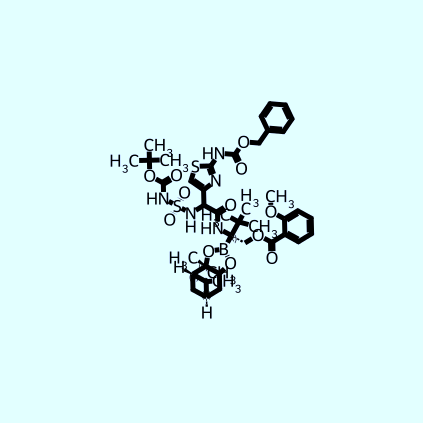 COc1ccccc1C(=O)OC[C@@](NC(=O)C(NS(=O)(=O)NC(=O)OC(C)(C)C)c1csc(NC(=O)OCc2ccccc2)n1)(B1OC2C[C@H]3C[C@@H](C3(C)C)[C@]2(C)O1)C(C)(C)C